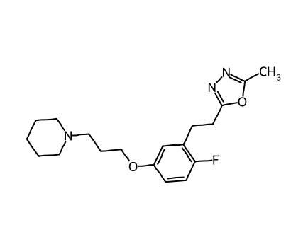 Cc1nnc(CCc2cc(OCCCN3CCCCC3)ccc2F)o1